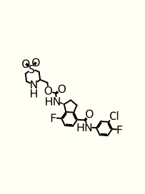 O=C(N[C@H]1CCc2c(C(=O)Nc3ccc(F)c(Cl)c3)ccc(F)c21)OCC1CS(=O)(=O)CCN1